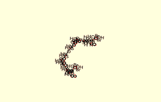 O=C(N/N=C/c1cc(Br)c(O)c(Br)c1O)C(Nc1ccc2ccccc2c1)C(=O)NNC(=S)Nc1ccc(/C=C/c2ccc(NC(=S)NCCOCCNC(=S)Nc3ccc(/C=C/c4ccc(NC(=S)NNC(=O)C(Nc5ccc6ccccc6c5)C(=O)N/N=C/c5cc(Br)c(O)c(Br)c5O)cc4S(=O)(=O)O)c(S(=O)(=O)O)c3)cc2S(=O)(=O)O)c(S(=O)(=O)O)c1